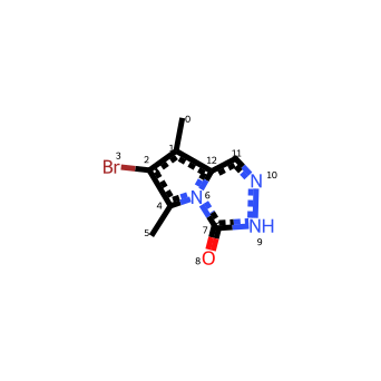 Cc1c(Br)c(C)n2c(=O)[nH]ncc12